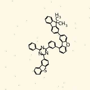 CC1(C)c2ccccc2-c2ccc(-c3ccc4oc5cccc(-c6cccc(-c7nc(-c8ccccc8)nc(-c8ccc9sc%10ccccc%10c9c8)n7)c6)c5c4c3)cc21